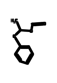 CC(O[C]=O)Oc1ccccc1